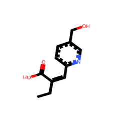 CCC(=Cc1ccc(CO)cn1)C(=O)O